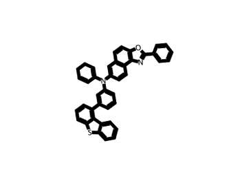 C1=CC(N(c2cccc(-c3cccc4sc5ccccc5c34)c2)c2ccc3c(ccc4oc(-c5ccccc5)nc43)c2)=CCC1